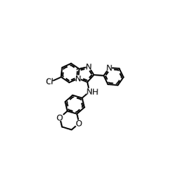 Clc1ccc2nc(-c3ccccn3)c(Nc3ccc4c(c3)OCCO4)n2c1